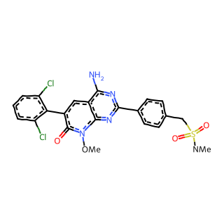 CNS(=O)(=O)Cc1ccc(-c2nc(N)c3cc(-c4c(Cl)cccc4Cl)c(=O)n(OC)c3n2)cc1